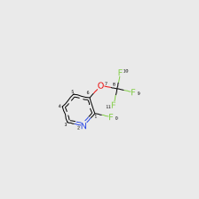 Fc1ncccc1OC(F)(F)F